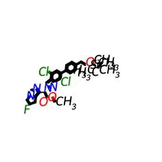 CCOC(=O)[C@@H](c1ncn2c1C[C@@H](F)C2)n1cc2c(Cl)cc(-c3ccc(CCO[Si](C)(C)C(C)(C)C)cc3)c(Cl)c2n1